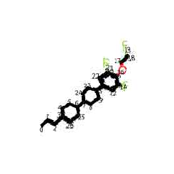 CCCC1CCC(C2CCC(c3cc(F)c(OCCF)c(F)c3)CC2)CC1